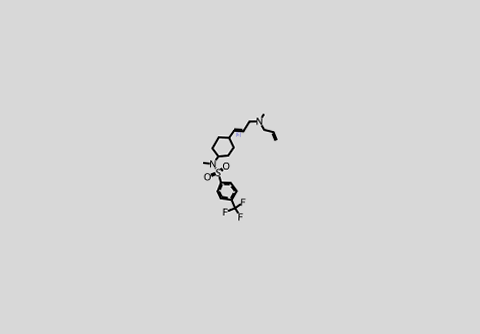 C=CCN(C)C/C=C/C1CCC(N(C)S(=O)(=O)c2ccc(C(F)(F)F)cc2)CC1